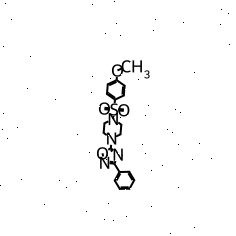 COc1ccc(S(=O)(=O)N2CCN(c3nc(-c4ccccc4)no3)CC2)cc1